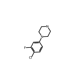 Fc1cc(N2CC[N]CC2)ccc1Cl